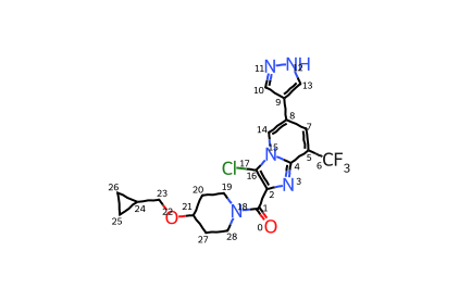 O=C(c1nc2c(C(F)(F)F)cc(-c3cn[nH]c3)cn2c1Cl)N1CCC(OCC2CC2)CC1